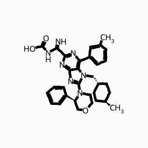 Cc1cccc(-c2nc(C(=N)NC(=O)O)nc3nc(N4CCOC[C@H]4c4ccccc4)n(C[C@H]4CC[C@H](C)CC4)c23)c1